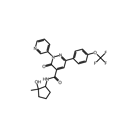 CC1(O)CCCC1NC(=O)c1cc(-c2ccc(OC(F)(F)F)cc2)nn(-c2cccnc2)c1=O